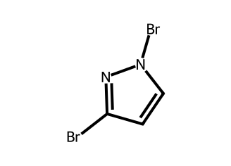 Brc1ccn(Br)n1